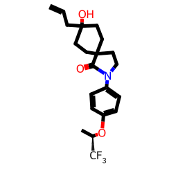 C=CCC1(O)CCC2(CCN(c3ccc(O[C@H](C)C(F)(F)F)cc3)C2=O)CC1